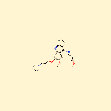 COc1cc2c(NCCC(C)(C)OC)c3c(nc2cc1OCCCN1CCCC1)CCC3